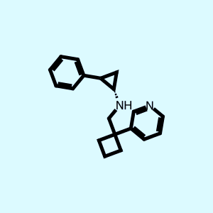 c1ccc(C2C[C@@H]2NCC2(c3cccnc3)CCC2)cc1